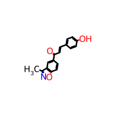 Cc1noc2ccc(C(=O)C=Cc3ccc(O)cc3)cc12